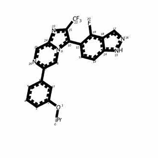 CC(C)Oc1cccc(-c2cn3c(-c4ccc5[nH]ncc5c4F)c(C(F)(F)F)nc3cn2)c1